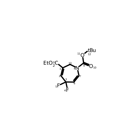 CCOC(=O)C1=CC(F)(F)C=CN(C(=O)OC(C)(C)C)C1